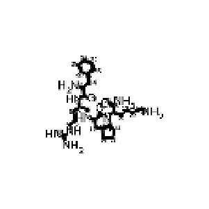 N=C(N)NCCCC(CNC(CC1CCCC1)C(=O)NC(CCCCN)C(N)=O)NC(=O)C(N)Cc1ccccc1